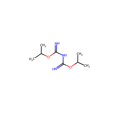 CC(C)OC(=N)NC(=N)OC(C)C